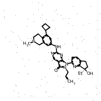 C=CCn1c(=O)c2cnc(Nc3cc4c(c(C5CCC5)c3)CCN(C)C4)nc2n1-c1ccc2c(n1)[C@@](O)(CC)CC2